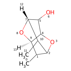 CC1C2OC3C(O)[C@@H](O[C@H]13)C2C